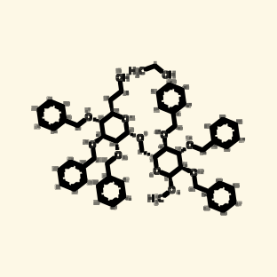 CCO.CO[C@H]1O[C@H](CO[C@H]2O[C@H](CCO)[C@@H](OCc3ccccc3)[C@H](OCc3ccccc3)[C@H]2OCc2ccccc2)[C@@H](OCc2ccccc2)[C@H](OCc2ccccc2)[C@H]1OCc1ccccc1